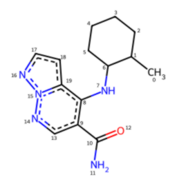 CC1CCCCC1Nc1c(C(N)=O)cnn2nccc12